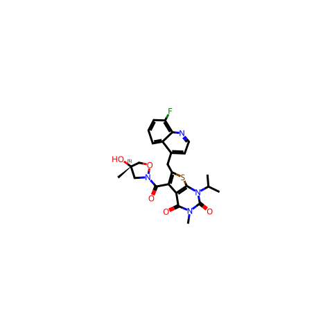 CC(C)n1c(=O)n(C)c(=O)c2c(C(=O)N3C[C@](C)(O)CO3)c(Cc3ccnc4c(F)cccc34)sc21